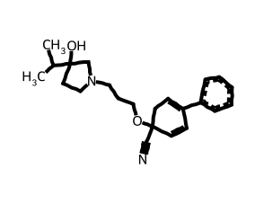 CC(C)C1(O)CCN(CCCOC2(C#N)C=CC(c3ccccc3)=CC2)C1